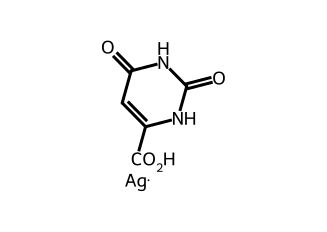 O=C(O)c1cc(=O)[nH]c(=O)[nH]1.[Ag]